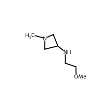 COCCNC1CN(C)C1